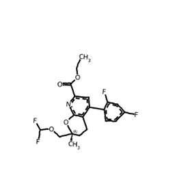 CCOC(=O)c1cc(-c2ccc(F)cc2F)c2c(n1)O[C@@](C)(COC(F)F)CC2